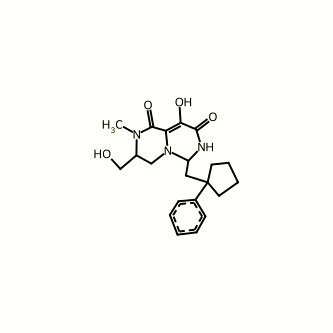 CN1C(=O)C2=C(O)C(=O)NC(CC3(c4ccccc4)CCCC3)N2CC1CO